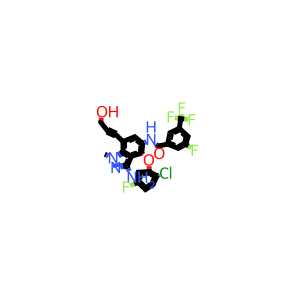 Cn1nc(N)c2c(Oc3cc(F)ccc3Cl)c(NC(=O)c3cc(F)cc(C(F)(F)F)c3)cc(C#CCO)c21